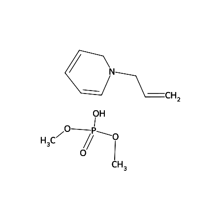 C=CCN1C=CC=CC1.COP(=O)(O)OC